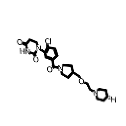 [2H]C1CCN(CCOCC2CCN(C(=O)c3ccc(Cl)c(N4CCC(=O)NC4=O)c3)CC2)CC1